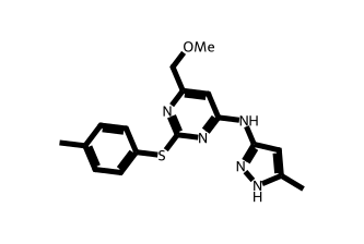 COCc1cc(Nc2cc(C)[nH]n2)nc(Sc2ccc(C)cc2)n1